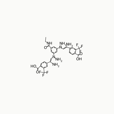 CCNC(=O)c1cc(N(N)/C=C(\N)c2ccc(C(=O)O)c(C(F)(F)F)c2)cc(N(N)/C=C(\N)c2ccc(C(=O)O)c(C(F)(F)F)c2)c1